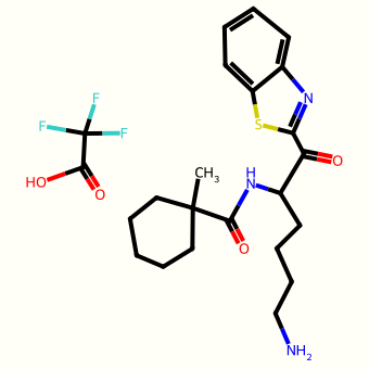 CC1(C(=O)NC(CCCCN)C(=O)c2nc3ccccc3s2)CCCCC1.O=C(O)C(F)(F)F